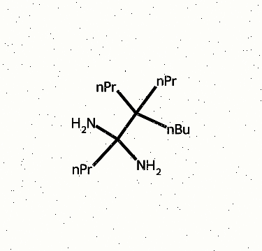 CCCCC(CCC)(CCC)C(N)(N)CCC